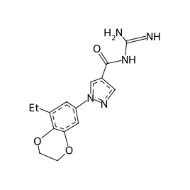 CCc1cc(-n2cc(C(=O)NC(=N)N)cn2)cc2c1OCCO2